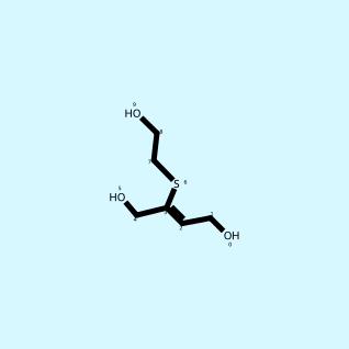 OCC=C(CO)SCCO